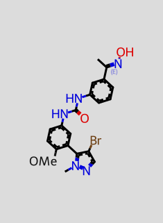 COc1ccc(NC(=O)Nc2cccc(/C(C)=N/O)c2)cc1-c1c(Br)cnn1C